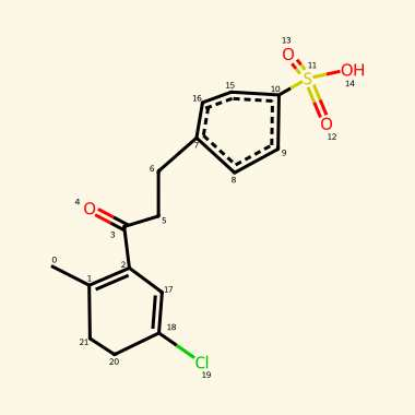 CC1=C(C(=O)CCc2ccc(S(=O)(=O)O)cc2)C=C(Cl)CC1